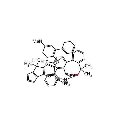 CNC1=CC(C2=CC=CCC2)=C(N2c3cc4c(cc3BNc3c5cccc3C(C)(C)c3ccccc3-c3c2cc(C)c(-c2ccccc2C)c3-5)C2=C(C=C=C2)C4(C)C)CC1